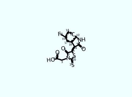 O=C(O)CN1C(=O)/C(=C2/C(=O)Nc3ccc(F)cc32)SC1=S